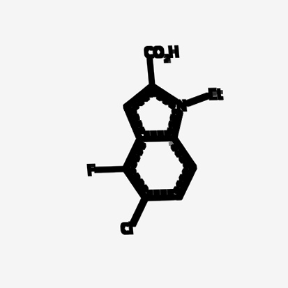 CCn1c(C(=O)O)cc2c(F)c(Cl)ccc21